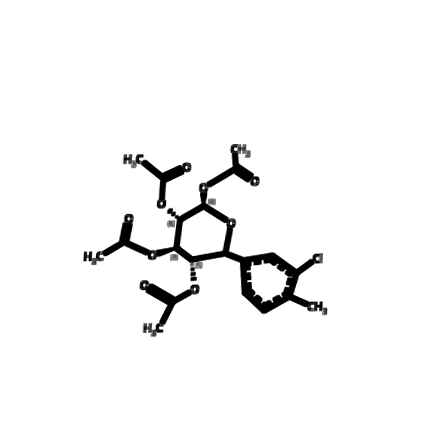 CC(=O)O[C@H]1OC(c2ccc(C)c(Cl)c2)[C@H](OC(C)=O)[C@@H](OC(C)=O)[C@@H]1OC(C)=O